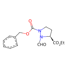 CCOC(=O)[C@@H]1CCN(C(=O)OCc2ccccc2)N1C=O